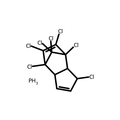 ClC1=C(Cl)C2(Cl)C3C(Cl)C=CC3C1(Cl)C2(Cl)Cl.P